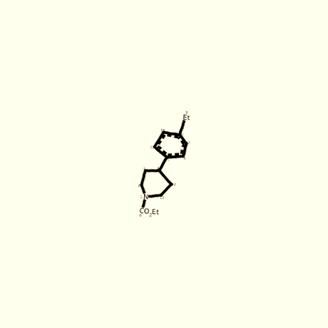 CCOC(=O)N1CCC(c2ccc(CC)cc2)CC1